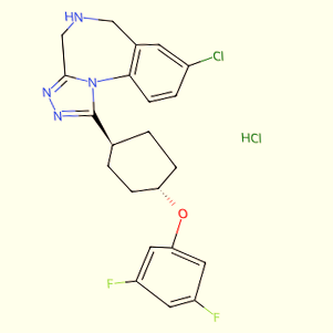 Cl.Fc1cc(F)cc(O[C@H]2CC[C@H](c3nnc4n3-c3ccc(Cl)cc3CNC4)CC2)c1